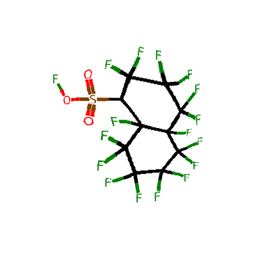 O=S(=O)(OF)C1C(F)(F)C(F)(F)C(F)(F)C2(F)C(F)(F)C(F)(F)C(F)(F)C(F)(F)C12F